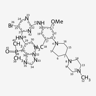 COc1cc(N2CCC(N3CCN(C)CC3)CC2)c(C)cc1Nc1ncc(Br)c(Nc2ccn3ncnc3c2P(C)(C)=O)n1